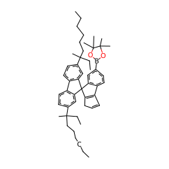 CCCCCCC(C)(CC)c1ccc2c(c1)C1(C3=C(C=CC3)c3ccc(B4OC(C)(C)C(C)(C)O4)cc31)c1cc(C(C)(CC)CCCCCC)ccc1-2